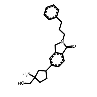 NC1(CO)CCC(c2ccc3c(c2)CN(CCCc2ccccc2)C3=O)C1